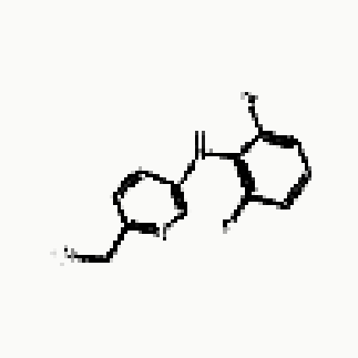 NCc1ccc(Nc2c(F)cccc2Br)cn1